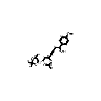 COc1ccc(C(O)CC#CC(CC[C@@H]2OC(C)(C)OC2C)OC(C)=O)cc1